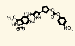 CC1NS(=O)(=O)c2ccc(Nc3cc([C@H]4CC[C@@H](OC(=O)Oc5ccc([N+](=O)[O-])cc5)C4)nn3C(C)(C)C)cc21